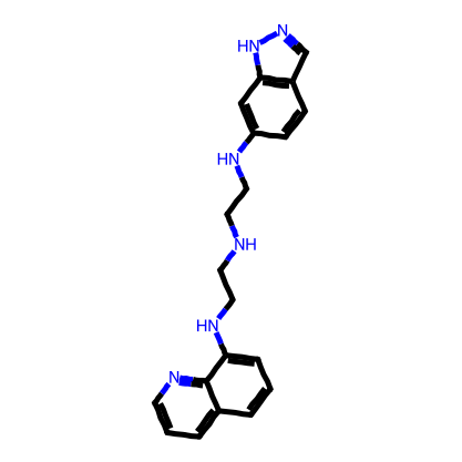 c1cnc2c(NCCNCCNc3ccc4cn[nH]c4c3)cccc2c1